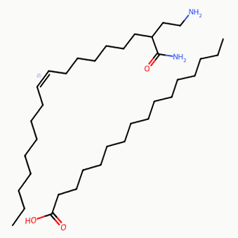 CCCCCCCC/C=C\CCCCCCC(CCN)C(N)=O.CCCCCCCCCCCCCCCC(=O)O